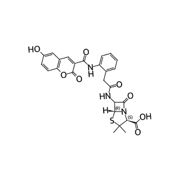 CC1(C)S[C@@H]2C(NC(=O)Cc3ccccc3NC(=O)c3cc4cc(O)ccc4oc3=O)C(=O)N2[C@H]1C(=O)O